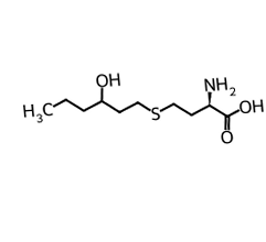 CCCC(O)CCSCC[C@@H](N)C(=O)O